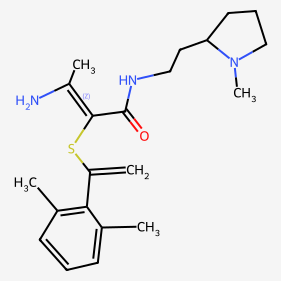 C=C(S/C(C(=O)NCCC1CCCN1C)=C(/C)N)c1c(C)cccc1C